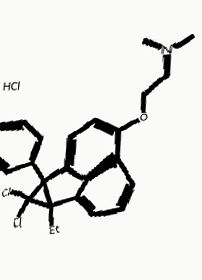 CCC1(c2ccccc2)C(Cl)(Cl)C1(c1ccccc1)c1ccc(OCCN(C)C)cc1.Cl